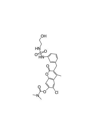 Cc1c(Cc2cccc(NS(=O)(=O)NCCO)c2)c(=O)oc2cc(OC(=O)N(C)C)c(Cl)cc12